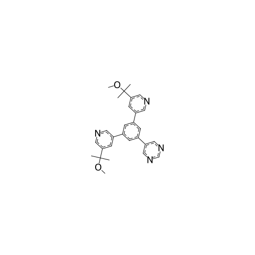 COC(C)(C)c1cncc(-c2cc(-c3cncnc3)cc(-c3cncc(C(C)(C)OC)c3)c2)c1